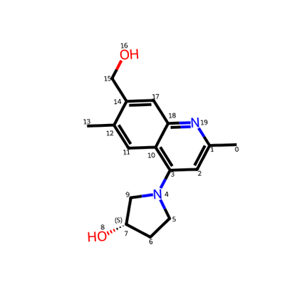 Cc1cc(N2CC[C@H](O)C2)c2cc(C)c(CO)cc2n1